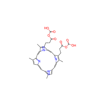 CC1=Cc2cc3[nH]c(cc4nc(cc5[nH]c(cc1n2)c(C)c5CCC(=O)OC(=O)O)C(CCC(=O)OC(=O)O)=C4C)cc3C